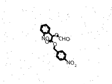 O=[C]OC(C(=O)OCc1ccc([N+](=O)[O-])cc1)c1ccccc1[N+](=O)[O-]